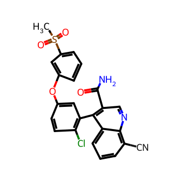 CS(=O)(=O)c1cccc(Oc2ccc(Cl)c(-c3c(C(N)=O)cnc4c(C#N)cccc34)c2)c1